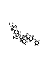 C=CC(=O)N[C@H]1CC[C@@H](NC(O)c2sc3nccc4c3c2NC(=O)N4c2ccc(Oc3ccccc3)cc2)CC1